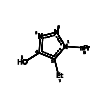 CCCn1nnc(O)c1CC